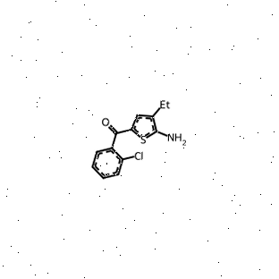 CCc1cc(C(=O)c2ccccc2Cl)sc1N